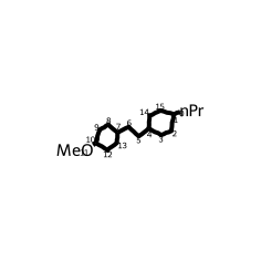 CCCC1CCC(CCC2CCC(OC)CC2)CC1